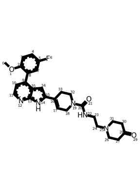 COc1ccc(F)cc1-c1ccnc2[nH]c(C3=CCN(C(=O)NCCN4CCC(=O)CC4)CC3)cc12